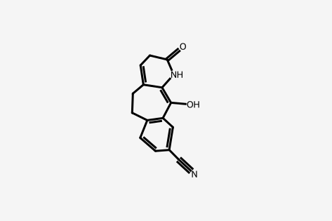 N#Cc1ccc2c(c1)C(O)=C1NC(=O)CC=C1CC2